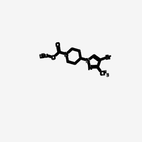 CC(C)(C)OC(=O)N1CCC(n2cc(Br)c(C(F)(F)F)n2)CC1